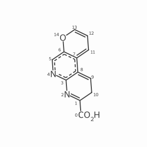 O=C(O)C1=Nc2ncc3c(c2=CC1)=CC=CO3